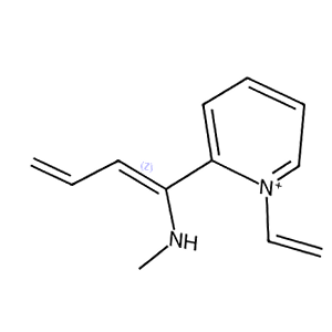 C=C/C=C(\NC)c1cccc[n+]1C=C